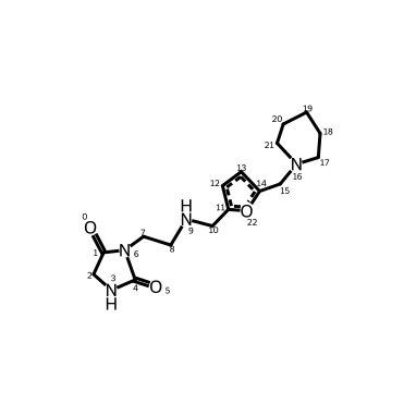 O=C1CNC(=O)N1CCNCc1ccc(CN2CCCCC2)o1